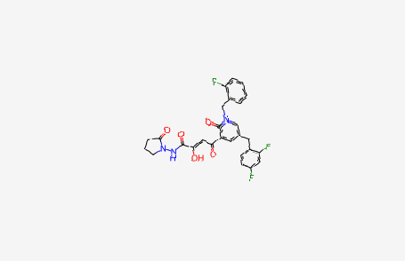 O=C(NN1CCCC1=O)/C(O)=C/C(=O)c1cc(Cc2ccc(F)cc2F)cn(Cc2ccccc2F)c1=O